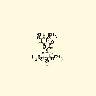 COc1cc(OC)c2c(=O)cc(-c3cc(OC)c(O)c(OC)c3)oc2c1